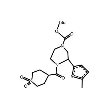 Cc1ccc(C2CN(C(=O)OC(C)(C)C)CCN2C(=O)C2CCS(=O)(=O)CC2)s1